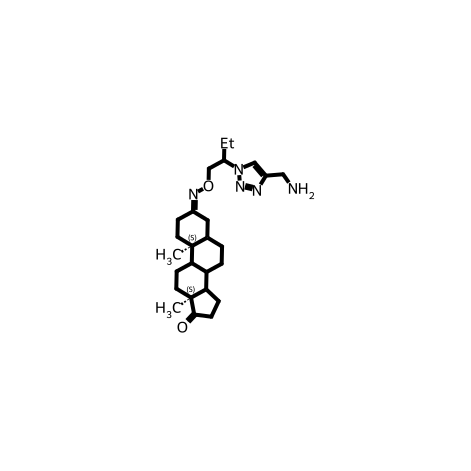 CCC(CON=C1CC[C@@]2(C)C(CCC3C2CC[C@]2(C)C(=O)CCC32)C1)n1cc(CN)nn1